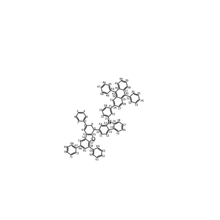 C1=C(c2ccccc2)CC(c2ccc3c4ccccc4n(-c4cccc(-c5ccc6c(-c7ccccc7)c7ccccc7c(-c7ccccc7)c6c5)c4)c3c2)c2oc3c(-c4ccccc4)cc(-c4ccccc4)cc3c21